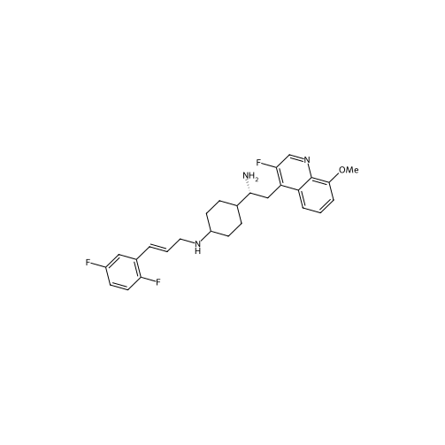 COc1cccc2c(C[C@@H](N)C3CCC(NC/C=C/c4cc(F)ccc4F)CC3)c(F)cnc12